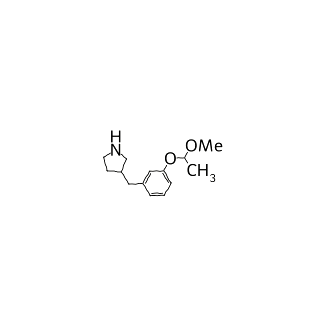 COC(C)Oc1cccc(CC2CCNC2)c1